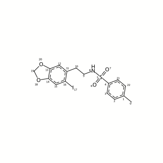 Cc1ccc(S(=O)(=O)NCCc2cc3c(cc2I)OCO3)cc1